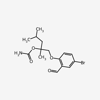 CC(C)CC(C)(COc1ccc(Br)cc1C=O)OC(N)=O